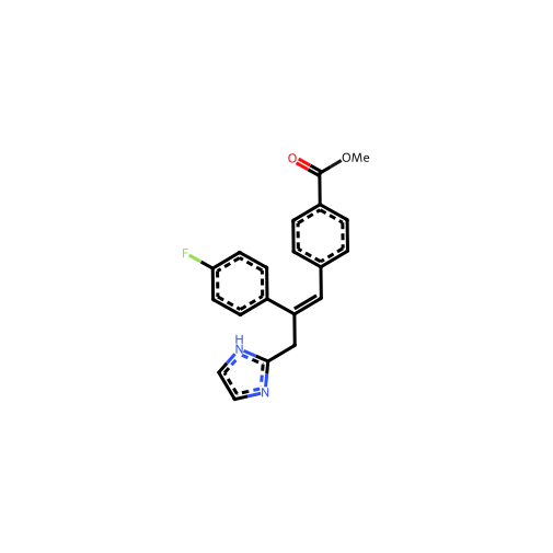 COC(=O)c1ccc(C=C(Cc2ncc[nH]2)c2ccc(F)cc2)cc1